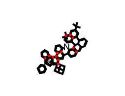 CC(C)(C)c1cc(C2=CC=CC3=CC=CC(c4ccccc4N(c4cccc(-c5cccc6c5c5ccccc5n6-c5ccccc5)c4)c4ccccc4-c4ccc5c(c4)C4(c6ccccc6-5)C5CC6CC7CC4C675)C32)cc(C(C)(C)C)c1